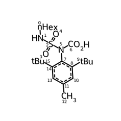 CCCCCCNS(=O)(=O)N(C(=O)O)c1c(C(C)(C)C)cc(C)cc1C(C)(C)C